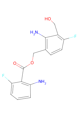 Nc1cccc(F)c1C(=O)OCc1ccc(F)c(CO)c1N